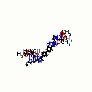 COC(=O)N[C@H](C(=O)N1CCC[C@H]1c1ncc(-c2ccc(-c3ccc(-c4cnc([C@@H]5CN(CCF)CN5C(=O)[C@@H](NC(=O)OC)C(C)C)[nH]4)cc3)cc2)[nH]1)C(C)C